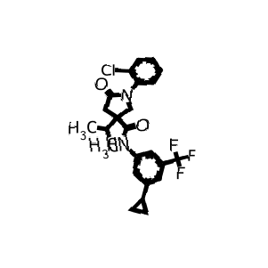 CC(C)C1(C(=O)Nc2cc(C3CC3)cc(C(F)(F)F)c2)CC(=O)N(c2ccccc2Cl)C1